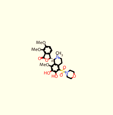 COc1ccc2c(c1OC)C(=O)OC2[C@H]1c2c(c(S(=O)(=O)N3CCOCC3)c(O)c(O)c2OC)CCN1C